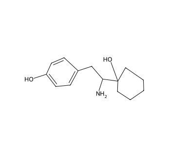 NC(Cc1ccc(O)cc1)C1(O)CCCCC1